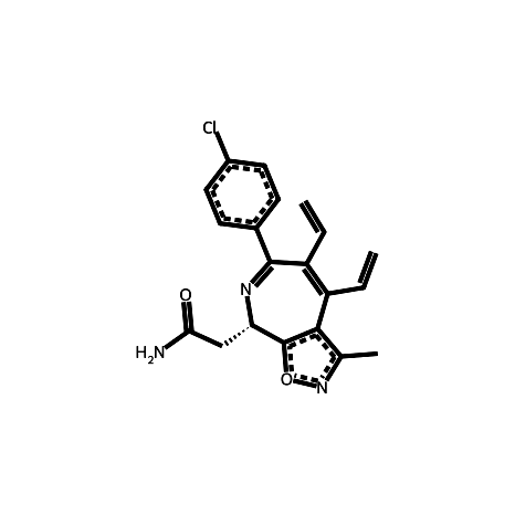 C=CC1=C(C=C)c2c(C)noc2[C@H](CC(N)=O)N=C1c1ccc(Cl)cc1